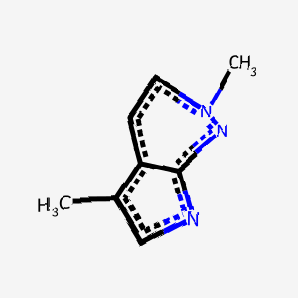 Cc1cnc2nn(C)ccc1-2